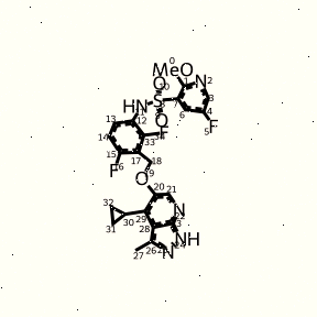 COc1ncc(F)cc1S(=O)(=O)Nc1ccc(F)c(COc2cnc3[nH]nc(C)c3c2C2CC2)c1F